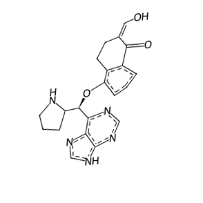 O=C1C(=CO)CCc2c(O[C@@H](c3ncnc4[nH]cnc34)C3CCCN3)cccc21